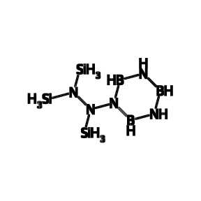 [SiH3]N([SiH3])N([SiH3])N1BNBNB1